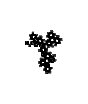 CC1(C)c2ccccc2-c2ccc(N(c3ccc4oc5c(-c6cccc7c6sc6ccccc67)c6ccccc6cc5c4c3)c3ccc4c5ccccc5c5ccccc5c4c3)cc21